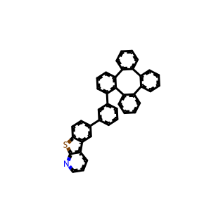 c1cc(-c2ccc3sc4ncccc4c3c2)cc(-c2cccc3c2-c2ccccc2-c2ccccc2-c2ccccc2-3)c1